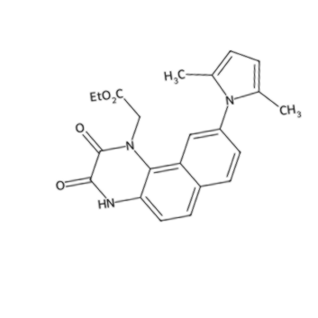 CCOC(=O)Cn1c(=O)c(=O)[nH]c2ccc3ccc(-n4c(C)ccc4C)cc3c21